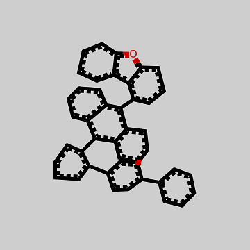 c1ccc(-c2ccc(-c3ccccc3-c3c4ccccc4c(-c4cccc5oc6ccccc6c45)c4ccccc34)cc2)cc1